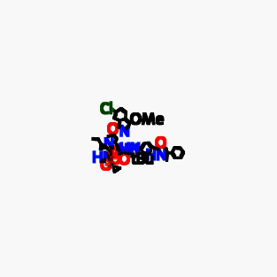 C=C[C@@H]1C[C@@]1(C(=O)NS(=O)(=O)C1CC1)N1C[C@H](Oc2ncc(OC)c3ccc(Cl)cc23)C[C@H]1C(=O)NC(=O)[C@@H](Nc1ccc(C(=O)NC(C)(C)c2ccccc2)cc1)C(C)(C)C